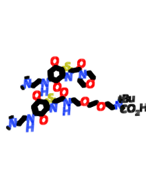 CN(C)CCNC1=CC(=O)c2sc(C(=O)N3CCOCC3)nc2C1=O.CN(C)CCNC1=CC(=O)c2sc(C(=O)NCCOCCOCCN(C(=O)O)C(C)(C)C)nc2C1=O